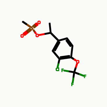 CC(OS(C)(=O)=O)c1ccc(OC(F)(F)F)c(Cl)c1